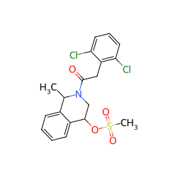 CC1c2ccccc2C(OS(C)(=O)=O)CN1C(=O)Cc1c(Cl)cccc1Cl